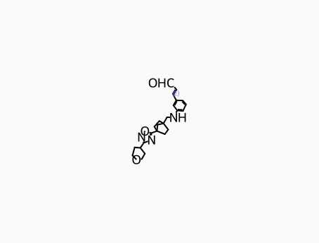 O=C/C=C/c1cccc(NCC23CCC(c4nc(C5CCOCC5)no4)(CC2)C3)c1